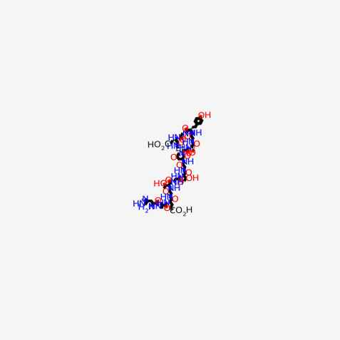 CCNC(=O)[C@H](CCC(=O)O)NC(=O)CNC(=O)[C@H](CCc1ccc(O)cc1)NC(=O)CNC(=O)[C@H](CO)NC(=O)CN1CC(=O)CC(NC(=O)CNC(=O)C(NC(=O)CNC(=O)C(NC(=O)CNC(=O)C(CCC(=O)O)NC(=O)C(C)(C)NC(=O)C(N)Cc2c[nH]cn2)C(C)O)C(C)O)C1=O